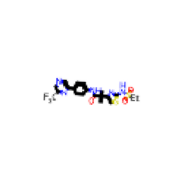 CCS(=O)(=O)Nc1nc(C(C)(C)C(=O)NC2=C=C=C(c3cncc(C(F)(F)F)n3)C=C2)cs1